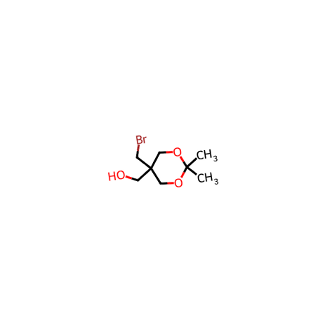 CC1(C)OCC(CO)(CBr)CO1